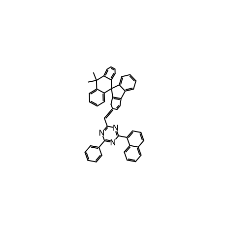 CC1(C)c2ccccc2C2(C3=C(C=C/C(=C\c4nc(-c5ccccc5)nc(-c5cccc6ccccc56)n4)C3)c3ccccc32)c2ccccc21